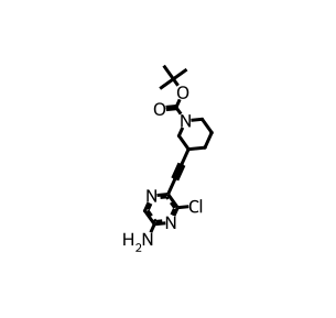 CC(C)(C)OC(=O)N1CCCC(C#Cc2ncc(N)nc2Cl)C1